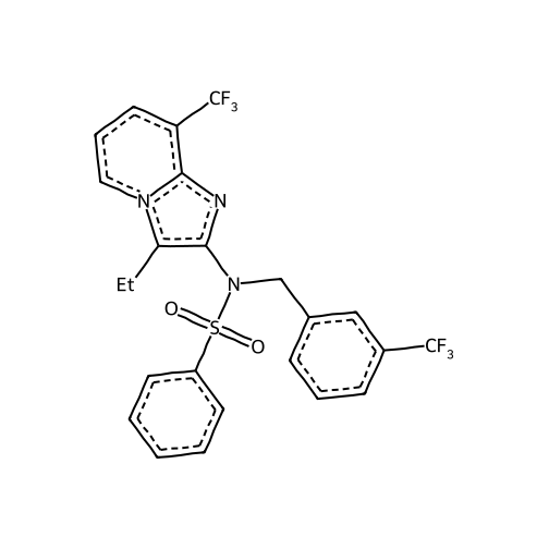 CCc1c(N(Cc2cccc(C(F)(F)F)c2)S(=O)(=O)c2ccccc2)nc2c(C(F)(F)F)cccn12